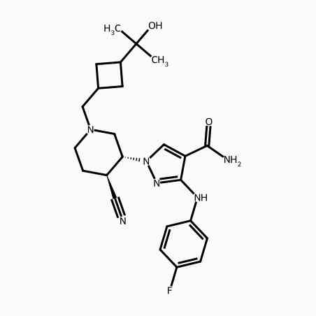 CC(C)(O)C1CC(CN2CC[C@H](C#N)[C@@H](n3cc(C(N)=O)c(Nc4ccc(F)cc4)n3)C2)C1